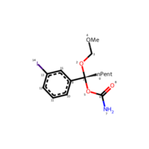 CCCCC[C@@](OCOC)(OC(N)=O)c1cccc(I)c1